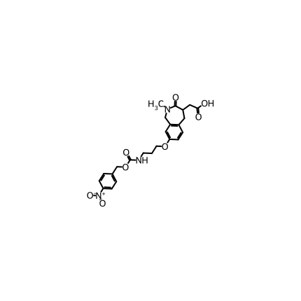 CN1Cc2cc(OCCCNC(=O)OCc3ccc([N+](=O)[O-])cc3)ccc2CC(CC(=O)O)C1=O